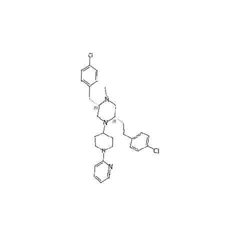 CN1C[C@H](CCc2ccc(Cl)cc2)N(C2CCN(c3ccccn3)CC2)C[C@@H]1Cc1ccc(Cl)cc1